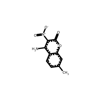 Cc1ccc2c(N)c([N+](=O)[O-])c(=O)oc2c1